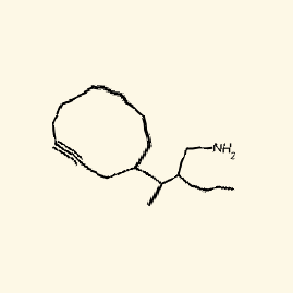 CCC(CN)C(C)C1CC#CCCCCCC1